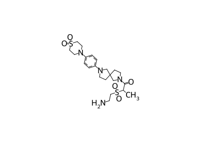 CC(C(=O)N1CCC2(CCN(c3ccc(N4CCS(=O)(=O)CC4)cc3)C2)C1)S(=O)(=O)CCN